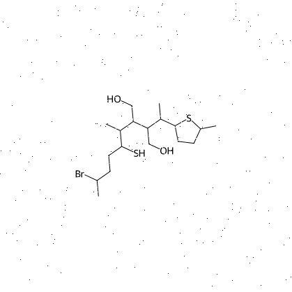 CC(Br)CCC(S)C(C)C(CO)C(CO)C(C)C1CCC(C)S1